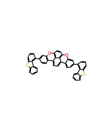 c1ccc2c(c1)sc1cccc(-c3ccc4c(c3)Oc3ccc5c6c(ccc-4c36)-c3ccc(-c4cccc6sc7ccccc7c46)cc3O5)c12